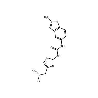 Cc1nc2cc(NC(=O)Nc3nc(CN(C)C(C)C)cs3)ccc2s1